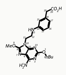 CCCCOc1nc(N)c2nc(OC)n(CCNc3cccc(CC(=O)O)c3)c2n1